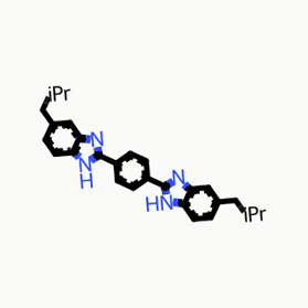 CC(C)Cc1ccc2[nH]c(-c3ccc(-c4nc5cc(CC(C)C)ccc5[nH]4)cc3)nc2c1